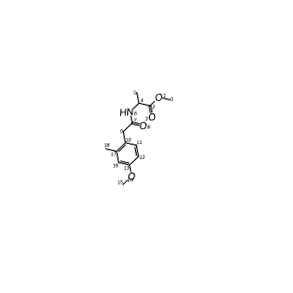 COC(=O)C(C)NC(=O)Cc1ccc(OC)cc1C